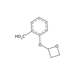 O=C(O)c1ccccc1OC1CCO1